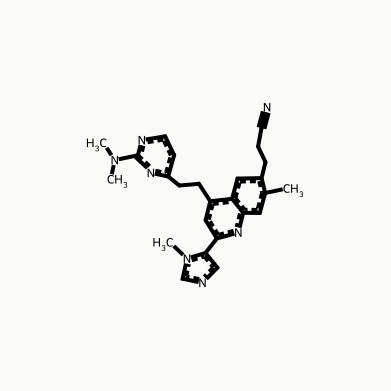 Cc1cc2nc(-c3cncn3C)cc(CCc3ccnc(N(C)C)n3)c2cc1CCC#N